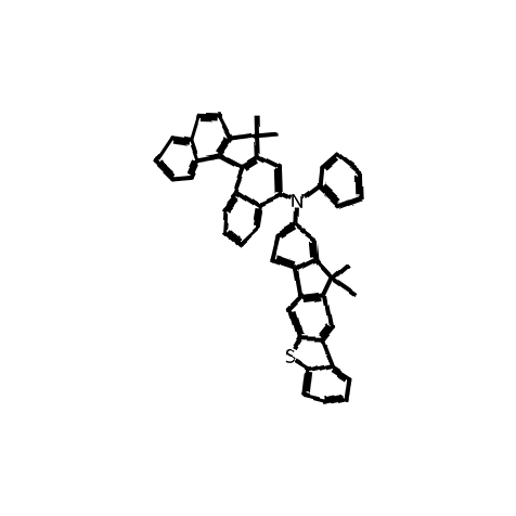 CC1(C)c2cc(N(c3ccccc3)c3cc4c(c5ccccc35)-c3c(ccc5ccccc35)C4(C)C)ccc2-c2cc3sc4ccccc4c3cc21